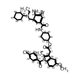 CCN(Cc1cc(C(=O)N[C@H]2CC[C@H](OC(=O)Cc3c(C)n(C(=O)c4ccc(Cl)cc4)c4ccc(OC)cc34)CC2)cc(Br)c1N)C1CCCCC1